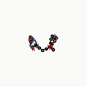 C=C/C=C\C(=C)C1(C(/C=C\C=C\c2nc(-c3ccccc3)nc(-c3ccc(-c4cccc(-c5ccc(-c6nc(-c7ccccc7)nc(-c7ccc(-c8cccc9c8-c8c(-c%10ccc(C#N)cc%10)cccc8C98c9ccccc9Oc9ccccc98)cc7)n6)cc5)c4)cc3)n2)=C\CC/C=C\C=C\C#N)c2ccccc2Oc2ccccc21